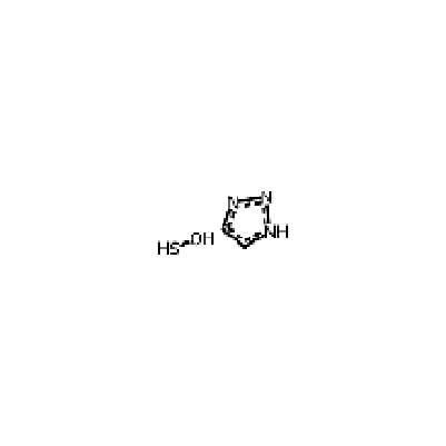 OS.c1c[nH]nn1